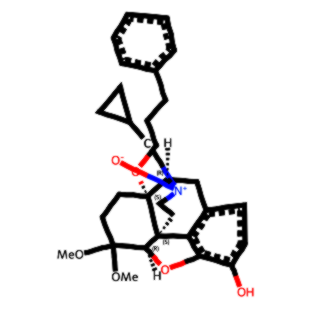 COC1(OC)CC[C@@]2(OCCCc3ccccc3)[C@H]3Cc4ccc(O)c5c4[C@@]2(CC[N+]3([O-])CC2CC2)[C@H]1O5